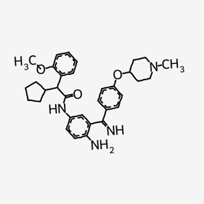 COc1ccccc1C(C(=O)Nc1ccc(N)c(C(=N)c2ccc(OC3CCN(C)CC3)cc2)c1)C1CCCC1